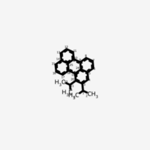 CC(C)c1cc2cccc3c4cccc5cccc(c(c1C(C)C)c23)c54